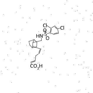 O=C(O)/C=C/C/C=C\C1C2CCC(CC2)C1CNS(=O)(=O)c1ccc(Cl)cc1Cl